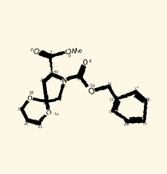 COC(=O)[C@@H]1CC2(CN1C(=O)OCc1ccccc1)OCCCO2